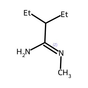 CCC(CC)/C(N)=N/C